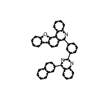 c1cc(-c2nc(-c3ccc4ccccc4c3)c3ccccc3n2)cc(-c2nc3ccccc3c3c2ccc2c4ccccc4oc23)c1